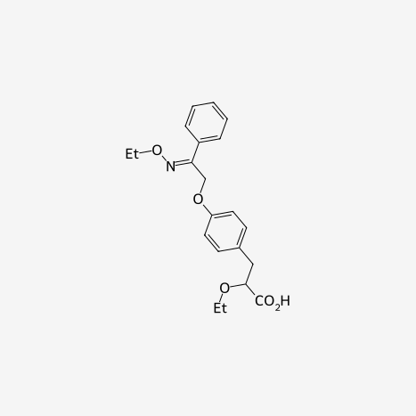 CCON=C(COc1ccc(CC(OCC)C(=O)O)cc1)c1ccccc1